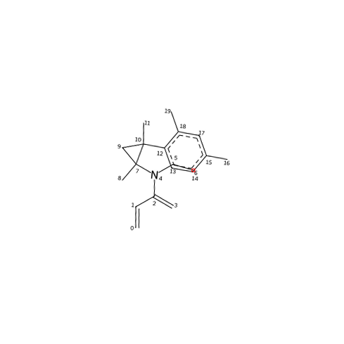 C=CC(=C)N(CC)C1(C)CC1(C)c1ccc(C)cc1C